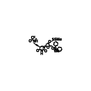 CSSCO[C@H]1C[C@H](n2cc(C#CCNC(=O)C(F)(F)F)c(=O)[nH]c2=O)O[C@@H]1CO[Si](c1ccccc1)(c1ccccc1)C(C)(C)C